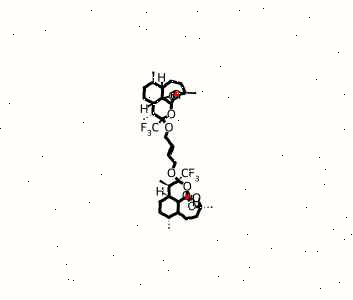 C[C@@H]1CC[C@H]2[C@@H](C)[C@](OC/C=C/CO[C@@]3(C(F)(F)F)O[C@@H]4O[C@]5(C)CC[C@H]6[C@H](C)CC[C@@H]([C@H]3C)[C@@]46OO5)(C(F)(F)F)O[C@@H]3O[C@]4(C)CCC1[C@]32OO4